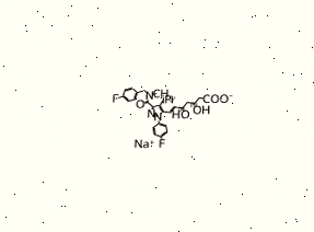 CC(C)c1c(C(=O)N(C)Cc2ccc(F)cc2)nn(-c2ccc(F)cc2)c1C=C[C@H](O)C[C@@H](O)CC(=O)[O-].[Na+]